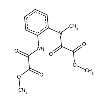 COC(=O)C(=O)Nc1ccccc1N(C)C(=O)C(=O)OC